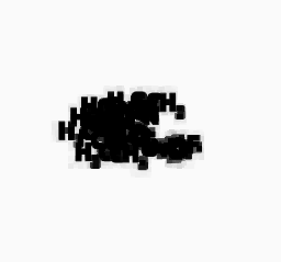 Cc1nc(-c2cnn(C)c2C)c(-c2ccc(OCCc3ccc(F)cc3)cc2)c(N2CCC(C)(C)CC2)c1[C@H](OC(C)(C)C)C(=O)O